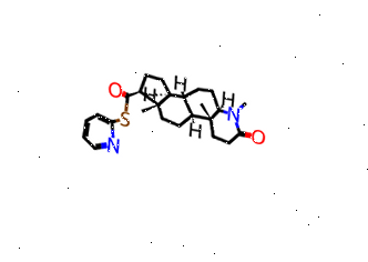 CN1C(=O)CC[C@]2(C)[C@H]3CC[C@]4(C)[C@@H](C(=O)Sc5ccccn5)CC[C@H]4[C@@H]3CC[C@@H]12